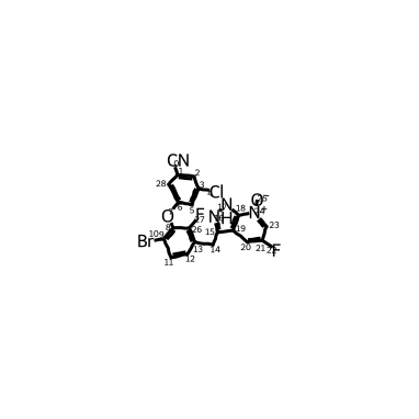 N#Cc1cc(Cl)cc(Oc2c(Br)ccc(Cc3n[nH]c4c3cc(F)c[n+]4[O-])c2F)c1